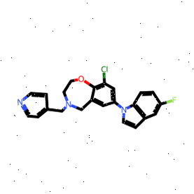 Fc1ccc2c(ccn2-c2cc(Cl)c3c(c2)CN(Cc2ccncc2)CCO3)c1